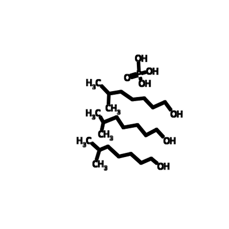 CC(C)CCCCCO.CC(C)CCCCCO.CC(C)CCCCCO.O=P(O)(O)O